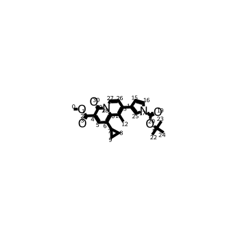 COC(=O)c1cc(C2CC2)c2c(C)c(-c3ccn(C(=O)OC(C)(C)C)c3)ccn2c1=O